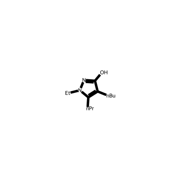 CCCCc1c(O)nn(CC)c1CCC